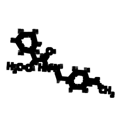 COC(C(=O)N/N=C/c1ccc(SC)cc1)c1ccccc1